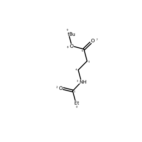 [CH2]CC(=O)NCCC(=O)OC(C)(C)C